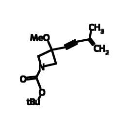 C=C(C)C#CC1(OC)CN(C(=O)OC(C)(C)C)C1